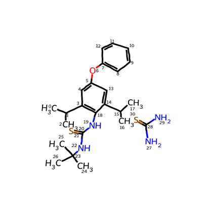 CC(C)c1cc(Oc2ccccc2)cc(C(C)C)c1NC(=S)NC(C)(C)C.NC(N)=S